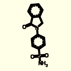 NS(=O)(=O)c1ccc(N2Cc3ccccc3C2=O)cc1